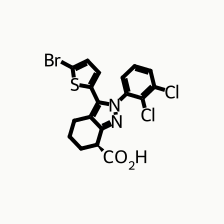 O=C(O)[C@H]1CCCc2c1nn(-c1cccc(Cl)c1Cl)c2-c1ccc(Br)s1